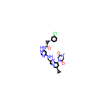 CN1CC(=O)N(c2cc(C3CC3)cn3cc(CNc4cc(NC(=O)[C@H]5C[C@@H]5c5cccc(Cl)c5)ncn4)nc23)CC1=O